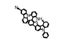 CC1CC=Cc2c1c1c3sc4c(-c5c(N)cccc5N5c6ccc(C#N)cc6C6C=CC=CC65)cccc4c3ccc1n2-c1ccccc1